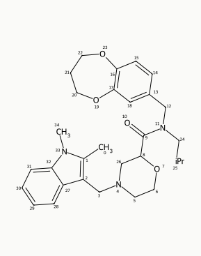 Cc1c(CN2CCOC(C(=O)N(Cc3ccc4c(c3)OCCCO4)CC(C)C)C2)c2ccccc2n1C